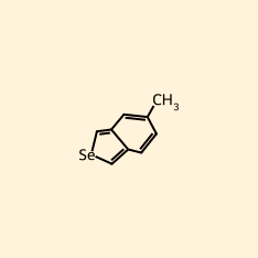 Cc1ccc2c[se]cc2c1